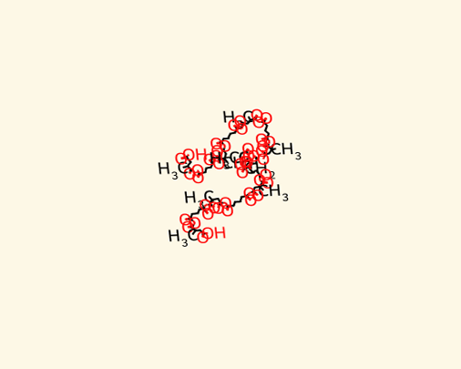 C=C(CC(=O)OC(=O)CC(C)C(=O)OC(=O)CCCC(=O)OC(=O)C(C)CC(=O)OC(=O)CCCCC(=O)OC(=O)CC(C)C(=O)OC(=O)CCCC(=O)OC(=O)C(C)CC(=O)O)C(=O)OC(=O)CC(C)C(=O)OC(=O)CCCC(=O)OC(=O)C(C)CC(=O)OC(=O)CCCCC(=O)OC(=O)CC(C)C(=O)OC(=O)CCCC(=O)OC(=O)C(C)CC(=O)O